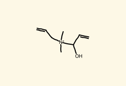 C=CC[N+](C)(C)C(O)C=C